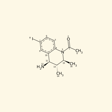 CC(=O)N1c2ccc(I)cc2[C@H](N)[C@@H](C)[C@@H]1C